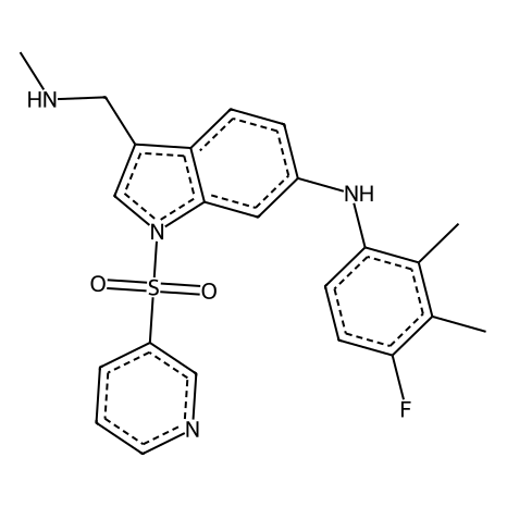 CNCc1cn(S(=O)(=O)c2cccnc2)c2cc(Nc3ccc(F)c(C)c3C)ccc12